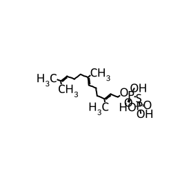 CC(C)=CCCC(C)=CCCC(C)=CCOP(=O)(O)SP(=O)(O)O